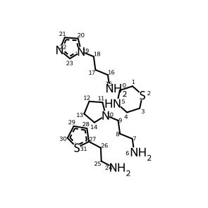 C1CSCCN1.NCCCN1CCCC1.NCCCn1ccnc1.NCCc1cccs1